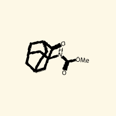 COC(=O)NC12CC3CC(CC(C3)C1=O)C2